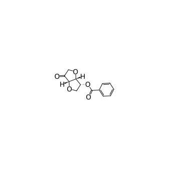 O=C(O[C@@H]1CO[C@@H]2C(=O)CO[C@@H]21)c1ccccc1